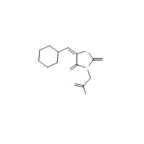 O=C(O)CN1C(=O)/C(=C\C2CCCCC2)SC1=S